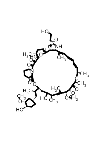 CO[C@@H]1C[C@H](C[C@@H](C)[C@@H]2CC(O)[C@H](C)/C=C(\C)[C@@H](O)[C@@H](OC)C(=O)[C@H](C)C[C@H](C)/C=C/C=C/C=C(\C)[C@@H](NS(=O)(=O)CCO)C[C@@H]3CC[C@@H](C)[C@@](O)(O3)C(=O)C(=O)N3CCCC[C@H]3C(=O)O2)CC[C@H]1O